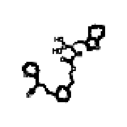 N#CC(CCc1cccc(CCOC(=O)N[C@@H](Cc2coc3ccccc23)B(O)O)c1)c1ccccn1